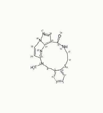 CN1Cc2ccccc2SCCNC(=O)c2cnn3ccc1nc23